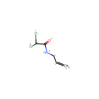 C=CCNC(=O)C(Cl)Cl